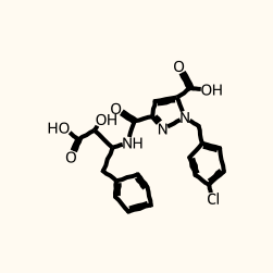 O=C(NC(Cc1ccccc1)C(O)C(=O)O)c1cc(C(=O)O)n(Cc2ccc(Cl)cc2)n1